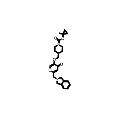 CC1(OC(=O)N2CCC(COc3coc(CN4Cc5ccccc5C4)cc3=O)CC2)CC1